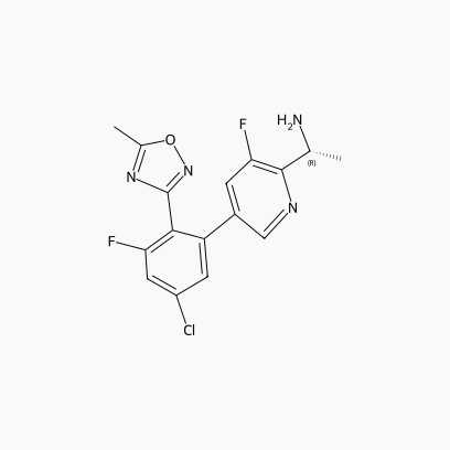 Cc1nc(-c2c(F)cc(Cl)cc2-c2cnc([C@@H](C)N)c(F)c2)no1